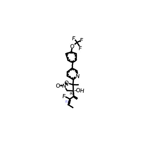 C=C(/C(F)=C\C)[C@@](O)(C[N+](=O)[O-])C(C)(C)c1ccc(-c2ccc(OC(F)(F)F)cc2)cn1